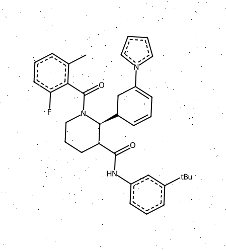 Cc1cccc(F)c1C(=O)N1CCCC(C(=O)Nc2cccc(C(C)(C)C)c2)[C@@H]1C1C=CC=C(n2cccc2)C1